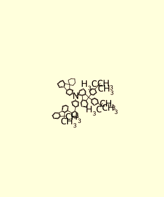 CC(C)(C)c1ccc(C2(c3ccc(C(C)(C)C)cc3)c3ccccc3-c3c(N(c4ccc(-c5ccccc5-c5cccc6c5C(C)(C)c5ccccc5-6)cc4)c4ccc5c(c4)C4(CCCCC4)c4ccccc4-5)cccc32)cc1